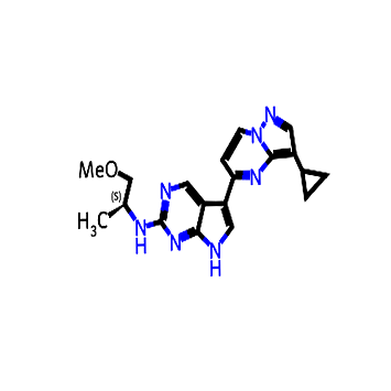 COC[C@H](C)Nc1ncc2c(-c3ccn4ncc(C5CC5)c4n3)c[nH]c2n1